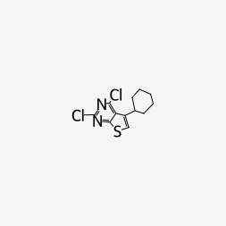 Clc1nc(Cl)c2c(C3CCCCC3)csc2n1